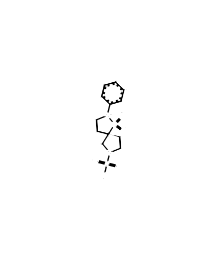 CS(=O)(=O)N1CC[C@]2(CCN(c3ccccc3)S2(=O)=O)C1